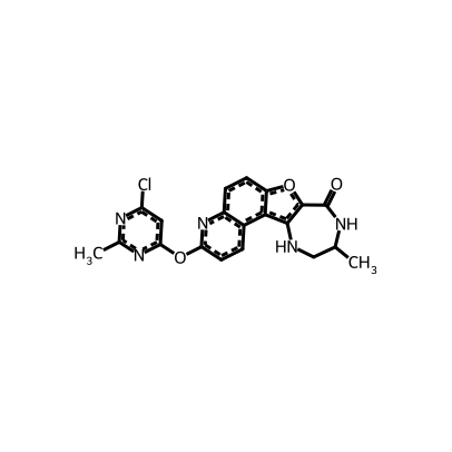 Cc1nc(Cl)cc(Oc2ccc3c(ccc4oc5c(c43)NCC(C)NC5=O)n2)n1